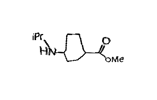 COC(=O)C1CCC(NC(C)C)CC1